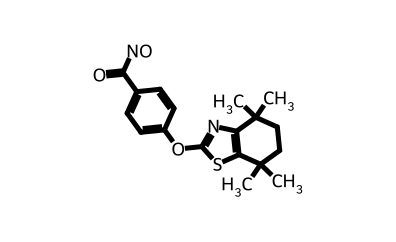 CC1(C)CCC(C)(C)c2sc(Oc3ccc(C(=O)N=O)cc3)nc21